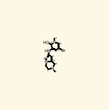 CN1CCn2nc(NC3=CC(Br)=CN(C)C3O)cc2C1